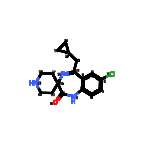 O=C1Nc2ccc(Cl)cc2C(CC2CC2)=NC12CCNCC2